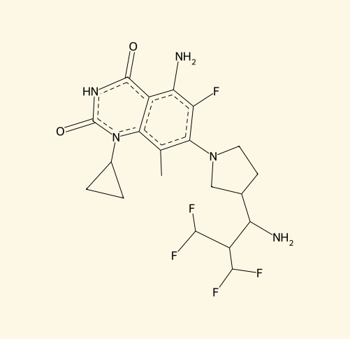 Cc1c(N2CCC(C(N)C(C(F)F)C(F)F)C2)c(F)c(N)c2c(=O)[nH]c(=O)n(C3CC3)c12